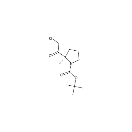 CC(C)(C)OC(=O)N1CCC[C@]1(C)C(=O)CCl